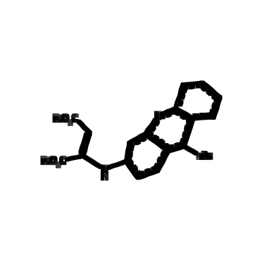 CCCCc1c2ccccc2nc2cc(NC(=CC(=O)OCC)C(=O)OCC)ccc12